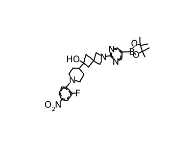 CC1(C)OB(c2cnc(N3CC4(C3)CC(O)(C3CCN(c5ccc([N+](=O)[O-])cc5F)CC3)C4)nc2)OC1(C)C